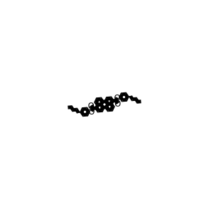 CCCCC[C@H]1CC[C@H](OC(=O)c2ccc3c4cccc5c(C(=O)O[C@H]6CC[C@H](CCCCC)CC6)ccc(c6cccc2c63)c54)CC1